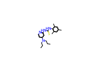 CCCN(CCC)c1ccnc(NC(=S)Nc2c(C)cc(C)cc2C)c1